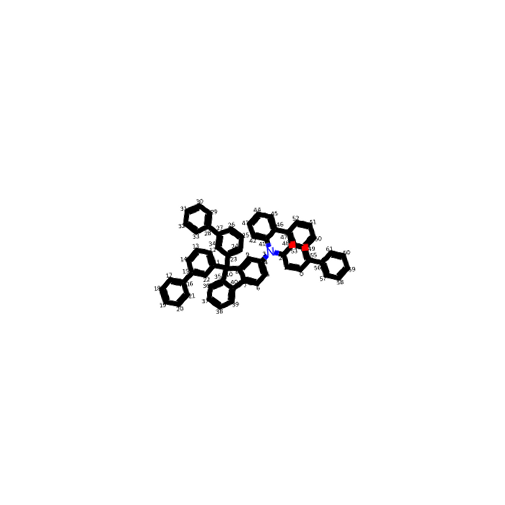 C1=CC(N(c2ccc3c(c2)C(c2cccc(-c4ccccc4)c2)(c2cccc(-c4ccccc4)c2)c2ccccc2-3)c2ccccc2-c2ccccc2)CC=C1c1ccccc1